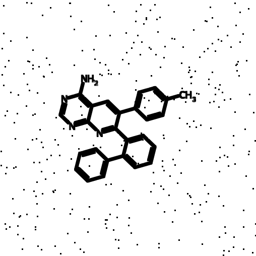 Cc1ccc(-c2cc3c(N)ncnc3nc2-c2ccccc2-c2ccccc2)cc1